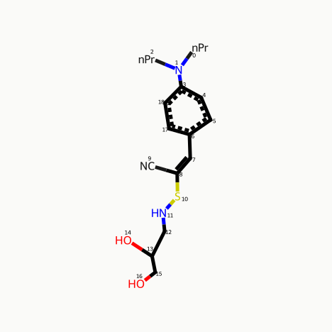 CCCN(CCC)c1ccc(/C=C(\C#N)SNCC(O)CO)cc1